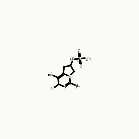 CC(C)(C)C1=NC(C(C)(C)C)C(C(C)(C)C)=C2CC(NS(C)(=O)=O)CN12